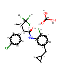 C[C@H]([C@H](C(=O)Nc1cc(CC2CC2)ccc1F)c1ccc(Cl)cc1)C(F)(F)F.O=C(O)O